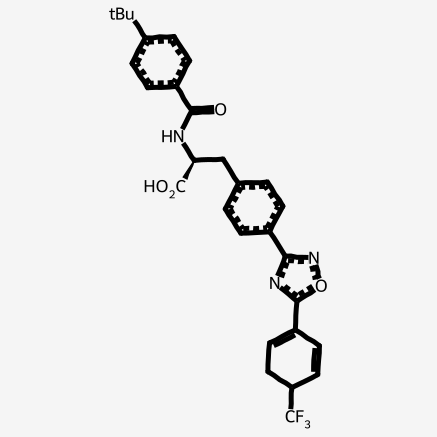 CC(C)(C)c1ccc(C(=O)N[C@@H](Cc2ccc(-c3noc(C4=CCC(C(F)(F)F)C=C4)n3)cc2)C(=O)O)cc1